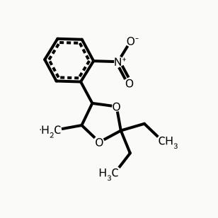 [CH2]C1OC(CC)(CC)OC1c1ccccc1[N+](=O)[O-]